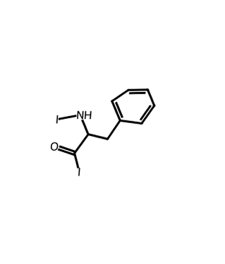 O=C(I)C(Cc1ccccc1)NI